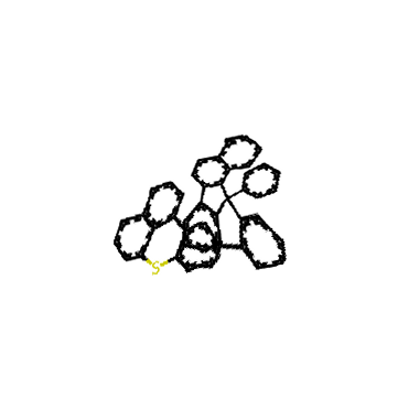 c1ccc(C2(c3ccccc3-c3ccc4c(c3)-c3cccc5cccc(c35)S4)c3ccccc3-c3ccc4ccccc4c32)cc1